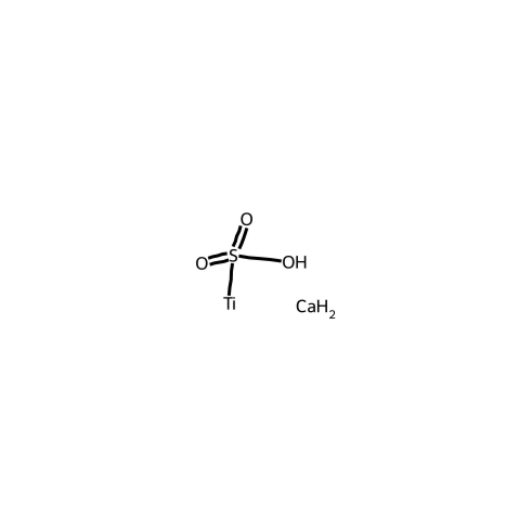 O=[S](=O)(O)[Ti].[CaH2]